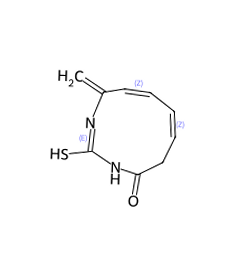 C=C1/C=C\C=C/CC(=O)N/C(S)=N\1